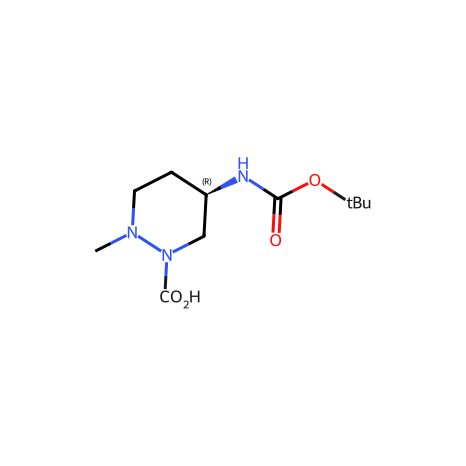 CN1CC[C@@H](NC(=O)OC(C)(C)C)CN1C(=O)O